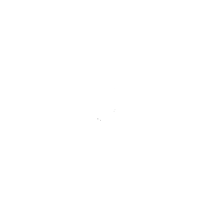 O=C(c1cccc(F)c1)N1CCCCC1